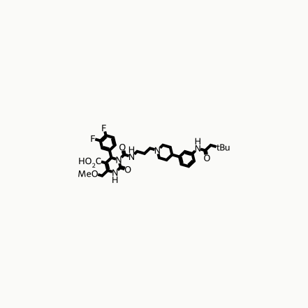 COCC1=C(C(=O)O)C(c2ccc(F)c(F)c2)N(C(=O)NCCCN2CCC(c3cccc(NC(=O)CC(C)(C)C)c3)CC2)C(=O)N1